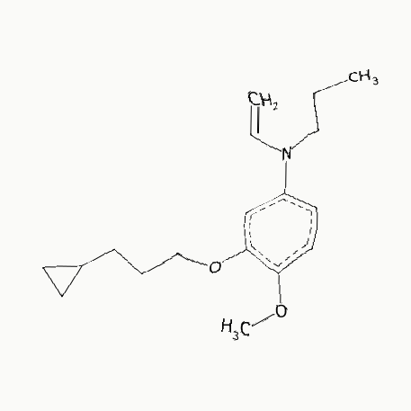 C=CN(CCC)c1ccc(OC)c(OCCCC2CC2)c1